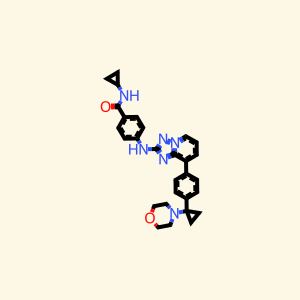 O=C(NC1CC1)c1ccc(Nc2nc3c(-c4ccc(C5(N6CCOCC6)CC5)cc4)cccn3n2)cc1